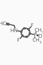 C#CCNc1cc(F)c(P(C)(C)=O)cc1F